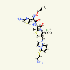 C=CCO/N=C(\C(=O)N[C@@H]1C(=O)N2C(C(=O)[O-])=C(Cn3cc[n+]4c(SCCN)cccc34)CS[C@@H]12)c1csc(N)n1.Cl